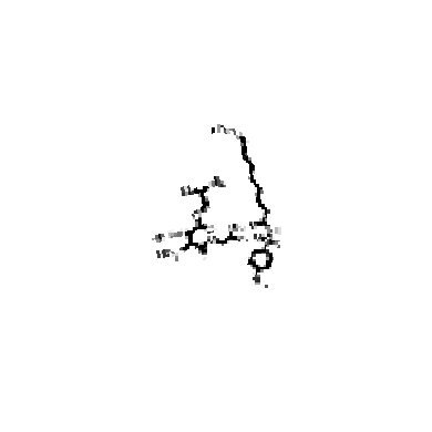 CCCCC(CC)COC(=O)CC(C(=O)OCC(CC)CCCC)S(=O)(=O)O.CCCCCCCCCCCCCCCCCC(=O)NS(=O)(=O)c1ccc(N)cc1.[KH].[NaH]